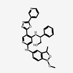 COB1OC(C)c2cc(Nc3cc(N[C@H](CO)c4ccccc4)c(-c4nnc(-c5cccnc5)o4)cn3)ccc21